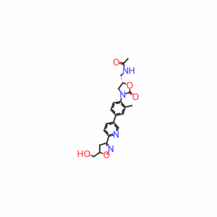 CC(=O)NC[C@H]1CN(c2ccc(-c3ccc(C4=NOC(CO)C4)nc3)cc2C)C(=O)O1